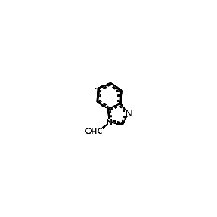 O=Cn1cnc2cc[c]cc21